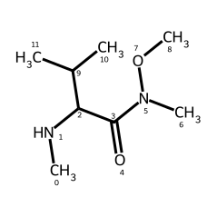 CNC(C(=O)N(C)OC)C(C)C